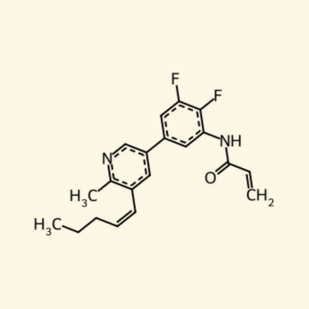 C=CC(=O)Nc1cc(-c2cnc(C)c(/C=C\CCC)c2)cc(F)c1F